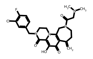 C=C1CCN(C(=O)CN(C)C)Cc2c1c(=O)c(O)c1n2CCN(Cc2ccc(F)c(Cl)c2)C1=O